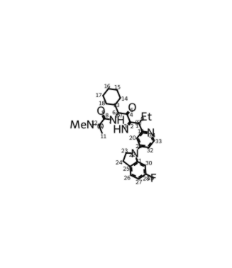 CC[C@H](C(=N)C(=O)[C@@H](NC(=O)[C@H](C)NC)C1CCCCC1)c1cc(N2CCc3ccc(F)cc32)ccn1